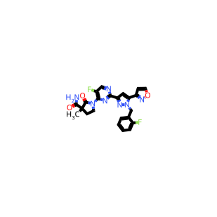 CC1(C(N)=O)CCN(c2nc(-c3cc(-c4ccon4)n(Cc4ccccc4F)n3)ncc2F)C1=O